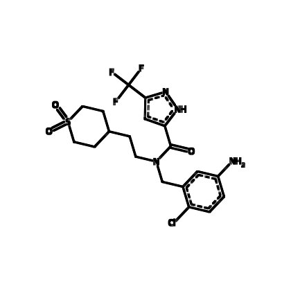 Nc1ccc(Cl)c(CN(CCC2CCS(=O)(=O)CC2)C(=O)c2cc(C(F)(F)F)n[nH]2)c1